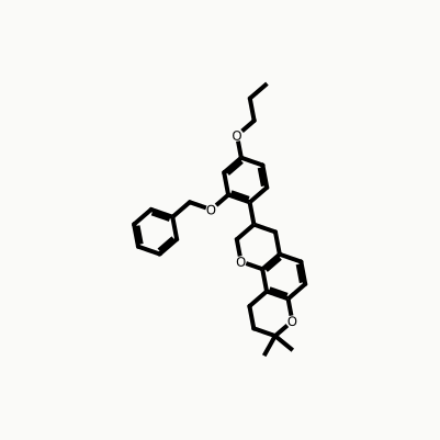 CCCOc1ccc(C2COc3c(ccc4c3CCC(C)(C)O4)C2)c(OCc2ccccc2)c1